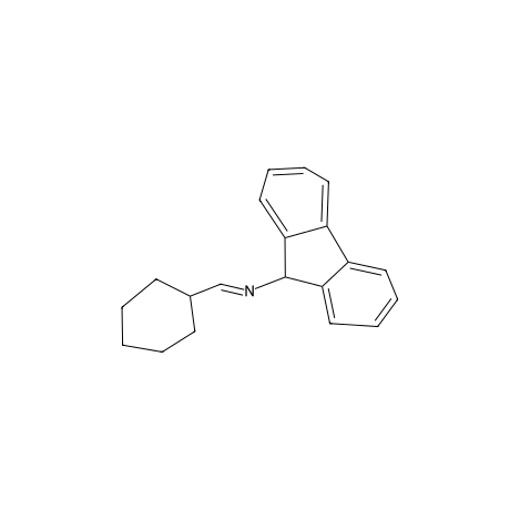 C(=NC1c2ccccc2-c2ccccc21)C1CCCCC1